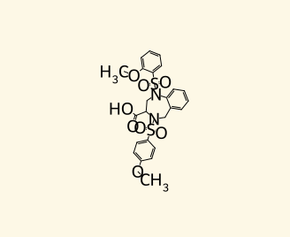 COc1ccc(S(=O)(=O)N2Cc3ccccc3N(S(=O)(=O)c3ccccc3OC)CC2C(=O)O)cc1